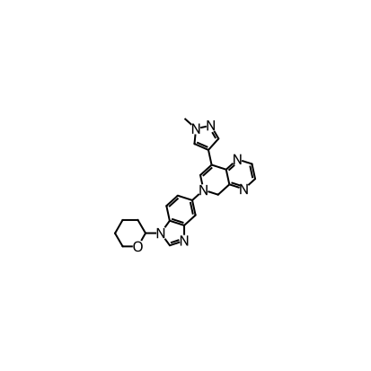 Cn1cc(C2=CN(c3ccc4c(c3)ncn4C3CCCCO3)Cc3nccnc32)cn1